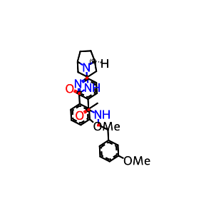 COc1cccc(CCNC(=O)c2ccc(N3C4CC[C@H]3CC(NC(=O)c3cccc(OC)c3C)C4)nc2)c1